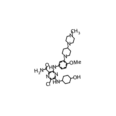 COc1ccc(Nc2nc(NC3CCC(O)CC3)c(Cl)nc2C(N)=O)cc1N1CCC(N2CCN(C)CC2)CC1